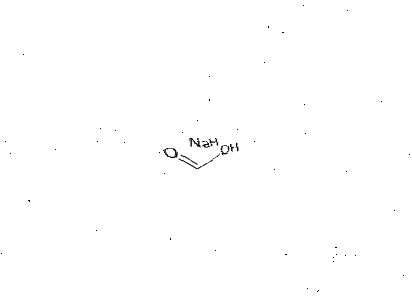 O=CO.[NaH]